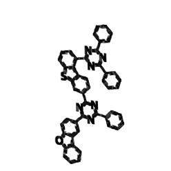 c1ccc(-c2nc(-c3ccc4c(c3)sc3cccc(-c5nc(-c6ccccc6)nc(-c6ccccc6)n5)c34)nc(-c3ccc4oc5ccccc5c4c3)n2)cc1